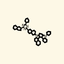 c1ccc(-c2nc(-c3ccc4ccccc4c3)nc(-c3ccc4cc(-n5c6ccc7ccccc7c6c6c7c8ccccc8n(-c8ccccc8)c7ccc65)ccc4c3)n2)cc1